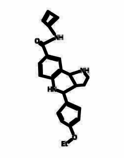 CCOc1ccc(C2Nc3ccc(C(=O)NC4=CC=C4)cc3C3NCCC23)cc1